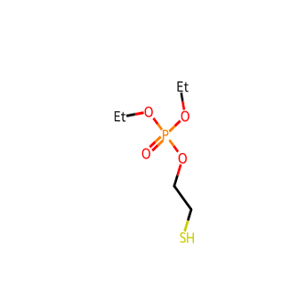 CCOP(=O)(OCC)OCCS